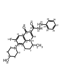 CC1CCc2c(N3CCC(O)CC3)c(F)cc3c(=O)c(C(=O)NNc4ccccc4)cn1c23